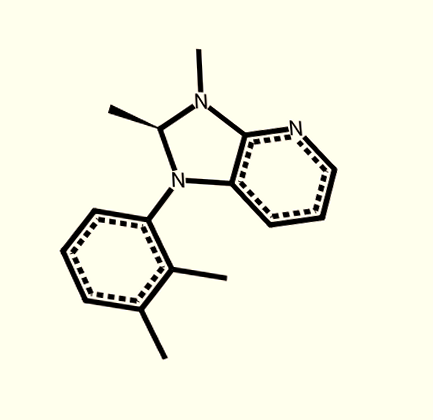 Cc1cccc(N2c3cccnc3N(C)[C@@H]2C)c1C